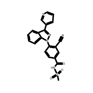 CS(=O)(=O)NC(=O)c1ccc(-n2nc(-c3cccnc3)c3ccccc32)c(C#N)c1